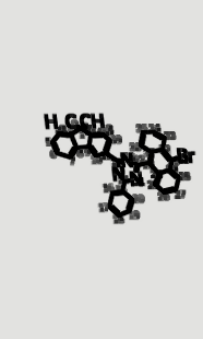 CC1(C)c2ccccc2-c2cc(-c3nc(-c4ccccc4)nc(-c4c5ccccc5c(Br)c5ccccc45)n3)ccc21